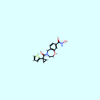 O=C(NO)c1ccc2c(c1)OCCN(C(=O)C1(c3cccs3)CC1)C2